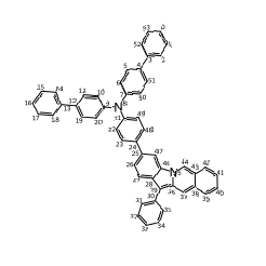 c1ccc(-c2ccc(N(c3ccc(-c4ccccc4)cc3)c3ccc(-c4ccc5c(-c6ccccc6)c6cc7ccccc7cn6c5c4)cc3)cc2)cc1